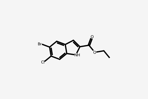 CCOC(=O)c1cc2cc(Br)c(Cl)cc2[nH]1